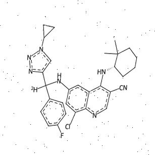 [2H]C(Nc1cc(Cl)c2ncc(C#N)c(N[C@H]3CCCCC3(C)C)c2c1)(c1ccc(F)cc1)c1cn(C2CC2)nn1